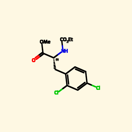 CCOC(=O)N[C@H](Cc1ccc(Cl)cc1Cl)C(=O)OC